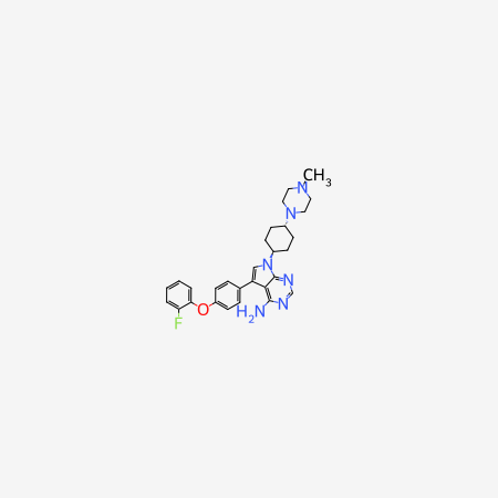 CN1CCN([C@H]2CC[C@H](n3cc(-c4ccc(Oc5ccccc5F)cc4)c4c(N)ncnc43)CC2)CC1